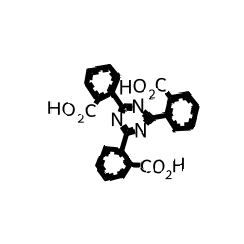 O=C(O)c1ccccc1-c1nc(-c2ccccc2C(=O)O)nc(-c2ccccc2C(=O)O)n1